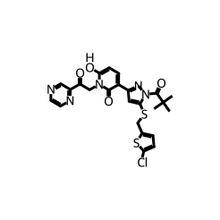 CC(C)(C)C(=O)n1nc(-c2ccc(O)n(CC(=O)c3cnccn3)c2=O)cc1SCc1ccc(Cl)s1